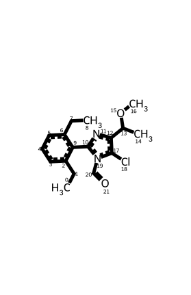 CCc1cccc(CC)c1-c1nc(C(C)OC)c(Cl)n1C=O